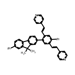 CC(C)c1ccc2c(c1)C(C)(C)c1cc(-c3cc(/C=C/c4ccncc4)c(C(C)C)cc3/C=C/c3ccncc3)ccc1-2